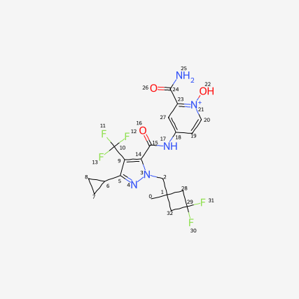 CC1(Cn2nc(C3CC3)c(C(F)(F)F)c2C(=O)Nc2cc[n+](O)c(C(N)=O)c2)CC(F)(F)C1